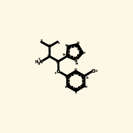 CC(C)C(N)C(Oc1cccc(Cl)c1)c1cccs1